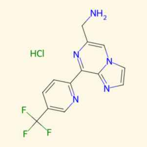 Cl.NCc1cn2ccnc2c(-c2ccc(C(F)(F)F)cn2)n1